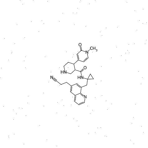 Cn1ccc(C2CCNCC2C(=O)NC2(Cc3cc(CCC#N)cc4cccnc34)CC2)cc1=O